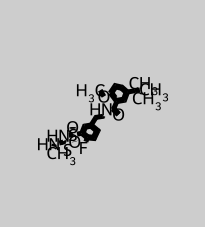 CNC(=S)NS(=O)(=O)c1cc(CCNC(=O)c2cc(C(C)(C)C)ccc2OC)ccc1F